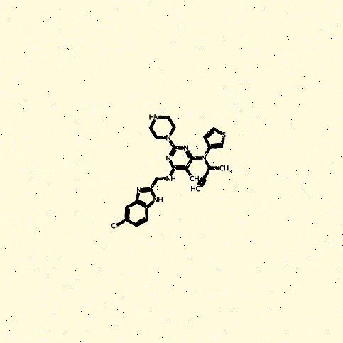 C#CC(C)N(c1ccsc1)c1nc(N2CCNCC2)nc(NCc2nc3cc(Cl)ccc3[nH]2)c1C